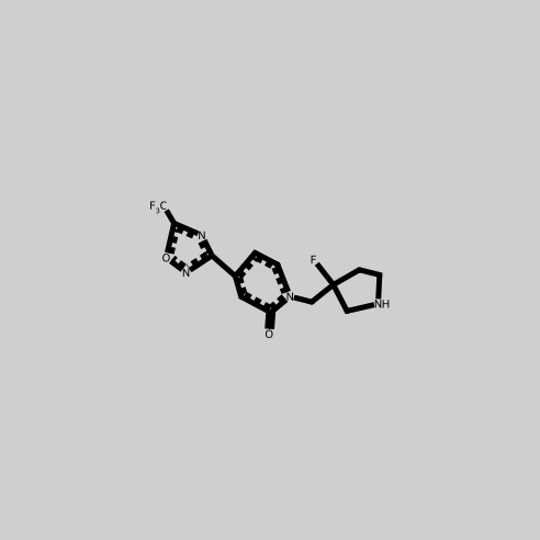 O=c1cc(-c2noc(C(F)(F)F)n2)ccn1CC1(F)CCNC1